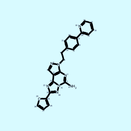 Nc1nc2c(cnn2CCc2ccc(-c3ccccn3)cc2)c2nc(-c3ccco3)nn12